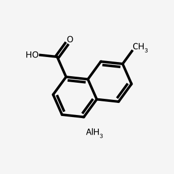 Cc1ccc2cccc(C(=O)O)c2c1.[AlH3]